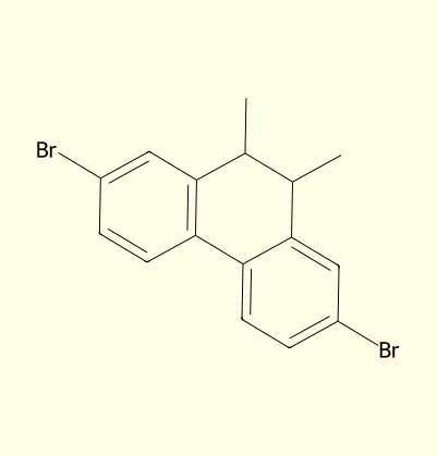 CC1c2cc(Br)ccc2-c2ccc(Br)cc2C1C